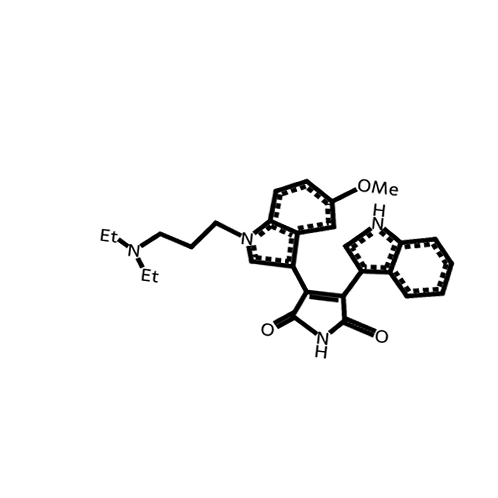 CCN(CC)CCCn1cc(C2=C(c3c[nH]c4ccccc34)C(=O)NC2=O)c2cc(OC)ccc21